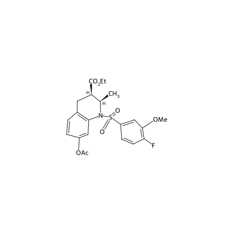 CCOC(=O)[C@@H]1Cc2ccc(OC(C)=O)cc2N(S(=O)(=O)c2ccc(F)c(OC)c2)[C@@H]1C